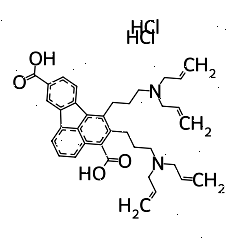 C=CCN(CC=C)CCCc1c(CCCN(CC=C)CC=C)c2c3c(cccc3c1C(=O)O)-c1cc(C(=O)O)ccc1-2.Cl.Cl